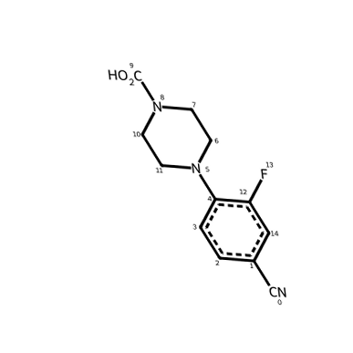 N#Cc1ccc(N2CCN(C(=O)O)CC2)c(F)c1